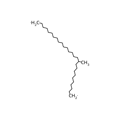 [CH2]CCCCCCCCCCCCCCCC(C)CCCCCCCCC[CH2]